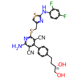 N#Cc1c(N)nc(SCc2csc(Nc3ccc(F)cc3F)n2)c(C#N)c1-c1ccc(CC[C@H](O)CO)cc1